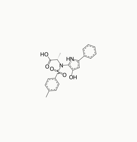 Cc1ccc(S(=O)(=O)N(c2[nH]c(-c3ccccc3)cc2O)[C@@H](C)C(=O)O)cc1